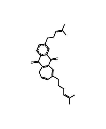 CC(C)=CCCCC1=CC2=C(CC=C1)C(=O)c1ccc(CCC=C(C)C)cc1C2=O